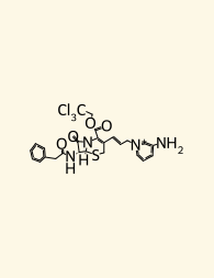 Nc1ccc[n+](CC=CC2=C(C(=O)OCC(Cl)(Cl)Cl)N3C(=O)[C@@H](NC(=O)Cc4ccccc4)[C@@H]3SC2)c1